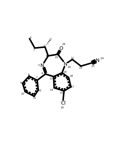 CC[C@H](C)C1N=C(c2ccccc2)c2cc(Cl)ccc2N(CCC#N)C1=O